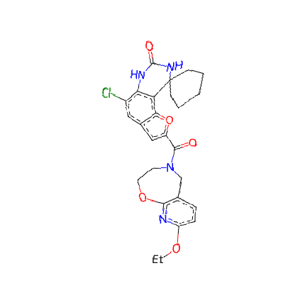 CCOc1ccc2c(n1)OCCN(C(=O)c1cc3cc(Cl)c4c(c3o1)C1(CCCCC1)NC(=O)N4)C2